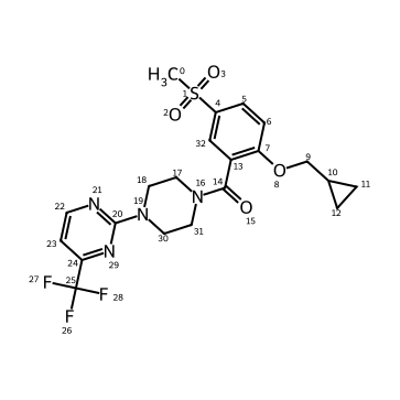 CS(=O)(=O)c1ccc(OCC2CC2)c(C(=O)N2CCN(c3nccc(C(F)(F)F)n3)CC2)c1